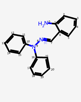 Nc1ccccc1/C=N/N(c1ccccc1)c1ccccc1